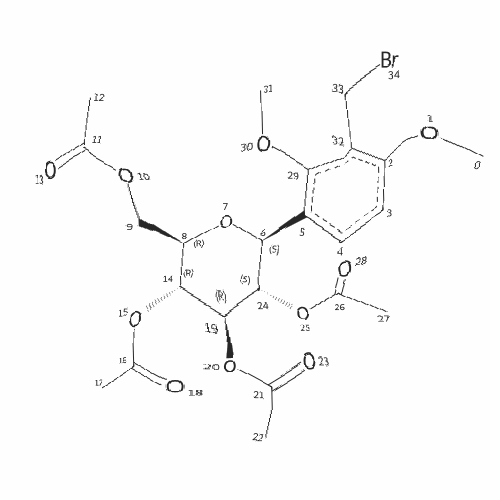 COc1ccc([C@@H]2O[C@H](COC(C)=O)[C@@H](OC(C)=O)[C@H](OC(C)=O)[C@H]2OC(C)=O)c(OC)c1CBr